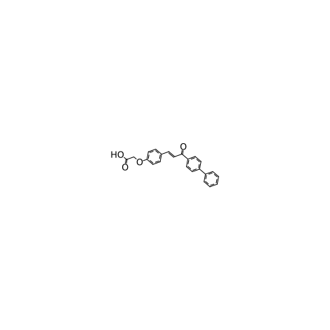 O=C(O)COc1ccc(C=CC(=O)c2ccc(-c3ccccc3)cc2)cc1